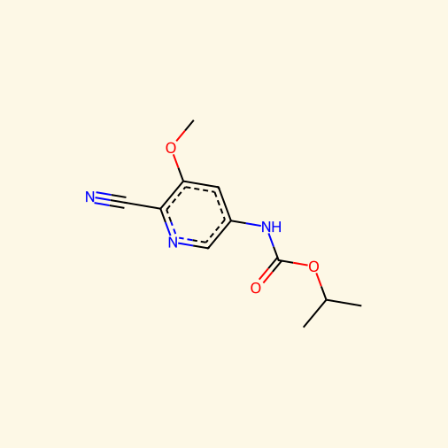 COc1cc(NC(=O)OC(C)C)cnc1C#N